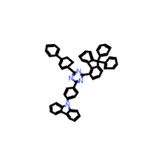 C1=C(c2ccccc2)CCC(c2nc(-c3ccc(-n4c5ccccc5c5ccccc54)cc3)nc(-c3cccc4c3-c3ccccc3C4(c3ccccc3)c3ccccc3)n2)=C1